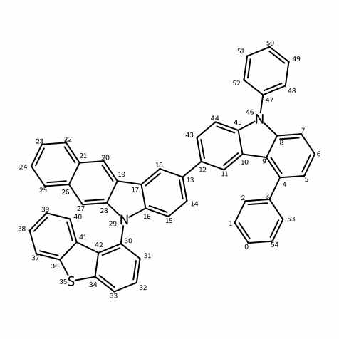 c1ccc(-c2cccc3c2c2cc(-c4ccc5c(c4)c4cc6ccccc6cc4n5-c4cccc5sc6ccccc6c45)ccc2n3-c2ccccc2)cc1